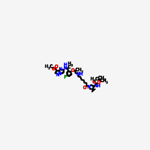 COC(=O)c1cnn2ccc(N[C@H](C)c3cc(F)ccc3O[C@@H](C)CNCCCCCCC(=O)N3C[C@H](NC(=O)OC(C)(C)C)C4(CC4)C3)nc12